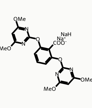 COc1cc(OC)nc(Oc2cccc(Oc3nc(OC)cc(OC)n3)c2C(=O)[O-])n1.[Na+].[NaH]